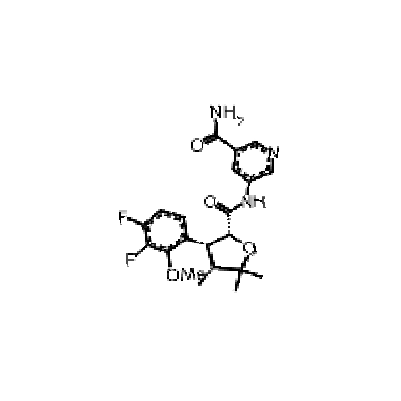 COc1c([C@H]2[C@H](C(=O)Nc3cncc(C(N)=O)c3)OC(C)(C)[C@H]2C)ccc(F)c1F